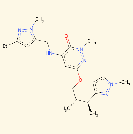 CCc1cc(CNc2cc(OC[C@@H](C)[C@H](C)c3ccn(C)n3)nn(C)c2=O)n(C)n1